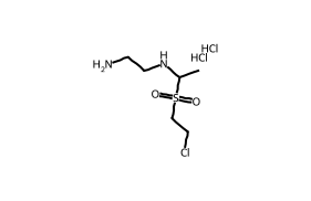 CC(NCCN)S(=O)(=O)CCCl.Cl.Cl